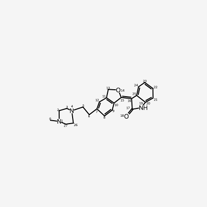 CN1CCN(CCc2ccc3c(c2)COC3=C2C(=O)Nc3ccccc32)CC1